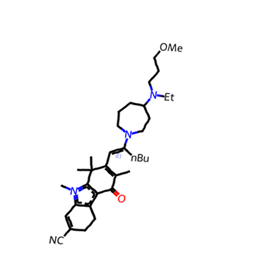 CCCC/C(=C\C1=C(C)C(=O)c2c3c(n(C)c2C1(C)C)C=C(C#N)CC3)N1CCCC(N(CC)CCCOC)CC1